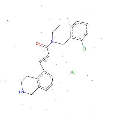 CCN(Cc1ccccc1Cl)C(=O)/C=C/c1cccc2c1CCNC2.Cl